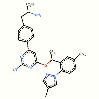 COc1ccc(-n2cc(C)cn2)c(C(Oc2cc(-c3ccc(C[C@H](N)C(=O)O)cc3)nc(N)n2)C(F)(F)F)c1